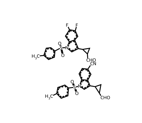 Cc1ccc(S(=O)(=O)n2cc(C3CC3C=O)c3cc(C#N)ccc32)cc1.Cc1ccc(S(=O)(=O)n2cc(C3CC3C=O)c3cc(F)c(F)cc32)cc1